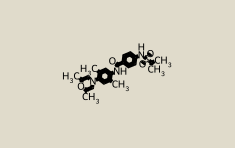 Cc1cc(N2CC(C)O[C@H](C)C2)c(C)cc1NC(=O)c1ccc(NS(=O)(=O)C(C)C)cc1